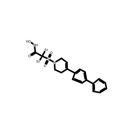 CCC(CC)(C(=O)NO)S(=O)(=O)N1CC=C(c2ccc(-c3ccccc3)cc2)CC1